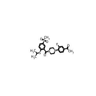 CC(=O)c1ccc(N2CCN(C(=O)c3cc(S(C)(=O)=O)ccc3SC(C)C)CC2)c(F)c1